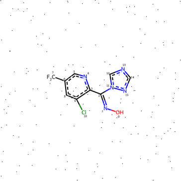 ON=C(c1ncc(C(F)(F)F)cc1Cl)n1cncn1